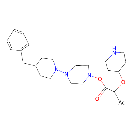 CC(=O)C(OC1CCNCC1)C(=O)ON1CCN(N2CCC(Cc3ccccc3)CC2)CC1